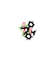 C=C(C)C(=O)OC1(C2CCCCC2)C(F)(F)C(O)(C(F)(F)F)OC(C2CCCCC2)(C(F)(F)F)C1(F)F